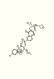 C=N/C(OC)=C(\C=C(/C)c1ccc2ncn(CC(C)C(=O)NC3COC3)c(=O)c2c1)NS(=O)(=O)c1ccc(F)cc1Cl